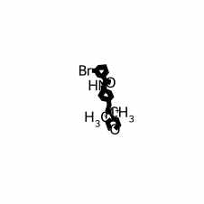 C[N+](C)(CCc1ccc(NC(=O)c2cccc(Br)c2)cc1)C1CCOCC1